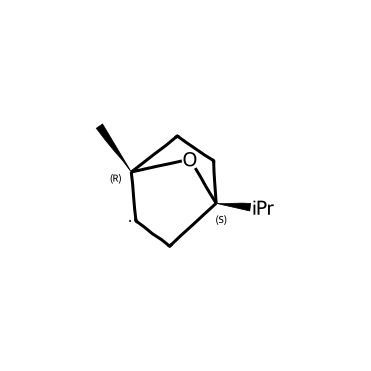 CC(C)[C@]12C[CH][C@](C)(CC1)O2